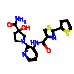 NC(=O)C1(O)CCN(c2ncccc2NC(=O)c2csc(-c3cccs3)n2)C1